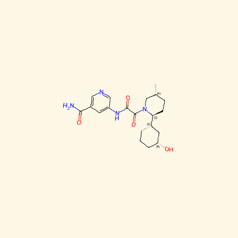 C[C@@H]1CC[C@@H]([C@H]2CCC[C@@H](O)C2)N(C(=O)C(=O)Nc2cncc(C(N)=O)c2)C1